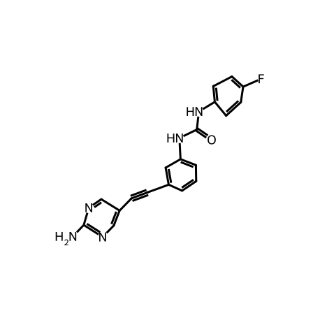 Nc1ncc(C#Cc2cccc(NC(=O)Nc3ccc(F)cc3)c2)cn1